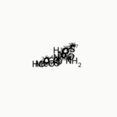 COC(=O)[C@H](Cc1ccc(O)cc1)NC(=O)c1cc(C(N)=O)c2cc(-c3cccs3)ccc2n1